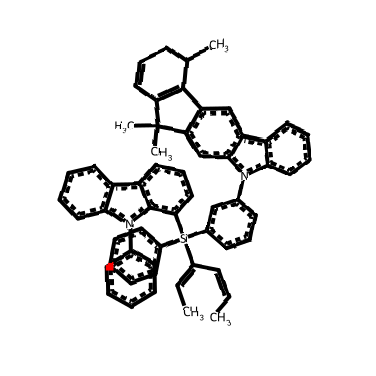 C/C=C\C(=C/C)[Si](c1ccccc1)(c1cccc(-n2c3ccccc3c3cc4c(cc32)C(C)(C)C2=C4C(C)CC=C2)c1)c1cccc2c3ccccc3n(-c3ccccc3)c12